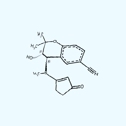 CN(C1=CC(=O)CC1)[C@@H]1c2cc(C#N)ccc2OC(C)(C)[C@H]1O